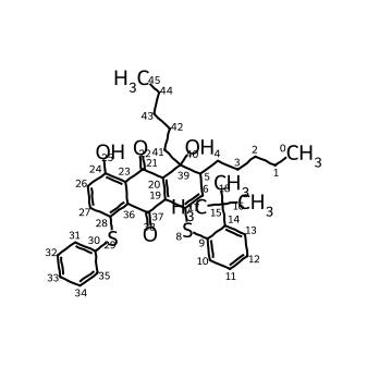 CCCCCC1C=C(Sc2ccccc2C(C)(C)C)C2=C(C(=O)c3c(O)ccc(Sc4ccccc4)c3C2=O)C1(O)CCCCC